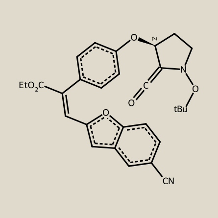 CCOC(=O)C(=Cc1cc2cc(C#N)ccc2o1)c1ccc(O[C@H]2CCN(OC(C)(C)C)C2=C=O)cc1